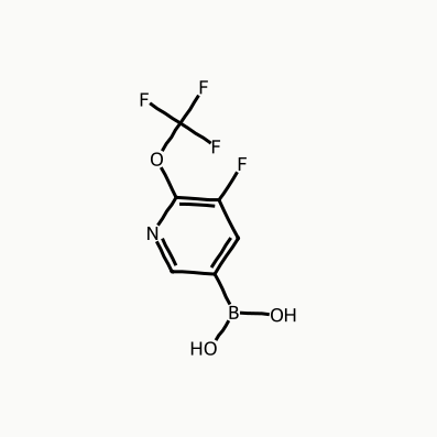 OB(O)c1cnc(OC(F)(F)F)c(F)c1